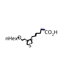 CCCCCCOCC[C@@H]1CSC[C@@H]1CC=CC/C=C\C(=O)O